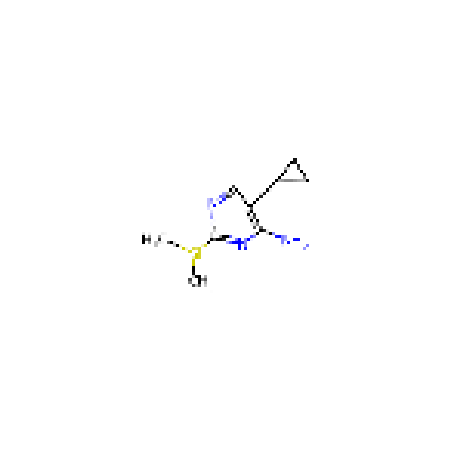 C[SH](C)c1ncc(C2CC2)c(N)n1